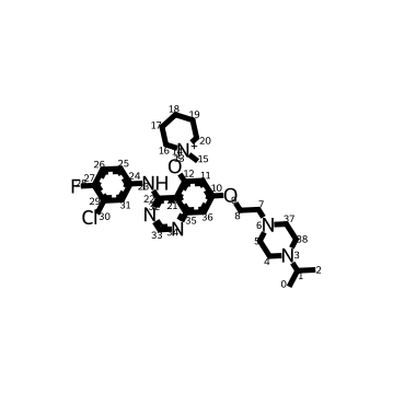 CC(C)N1CCN(CCOc2cc(O[N+]3(C)CCCCC3)c3c(Nc4ccc(F)c(Cl)c4)ncnc3c2)CC1